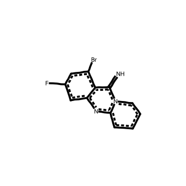 N=c1c2c(Br)cc(F)cc2nc2ccccn12